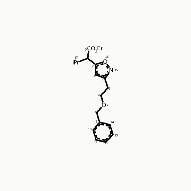 CCOC(=O)C(c1cc(CCOCc2ccccc2)no1)C(C)C